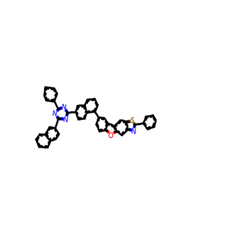 c1ccc(-c2nc(-c3ccc4ccccc4c3)nc(-c3ccc4c(-c5ccc6oc7cc8nc(-c9ccccc9)sc8cc7c6c5)cccc4c3)n2)cc1